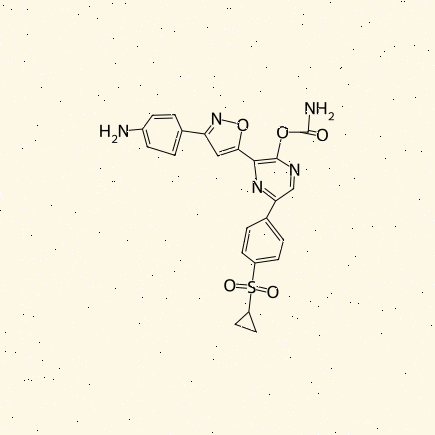 NC(=O)Oc1ncc(-c2ccc(S(=O)(=O)C3CC3)cc2)nc1-c1cc(-c2ccc(N)cc2)no1